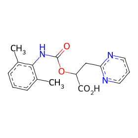 Cc1cccc(C)c1NC(=O)OC(Cc1ncccn1)C(=O)O